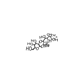 COC1OC(CO)C(O)C(O)C1OC(C)C(O)C(O)C(O)C(C)CO